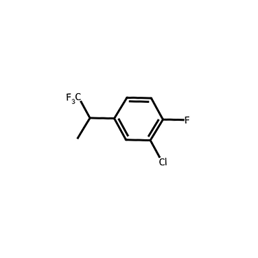 CC(c1ccc(F)c(Cl)c1)C(F)(F)F